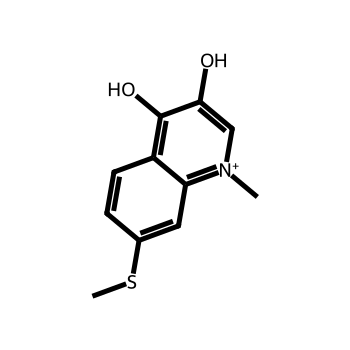 CSc1ccc2c(O)c(O)c[n+](C)c2c1